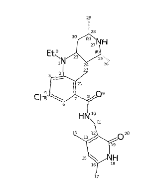 CCN(c1cc(Cl)cc(C(=O)NCc2c(C)cc(C)[nH]c2=O)c1C)C1C[C@@H](C)N[C@@H](C)C1